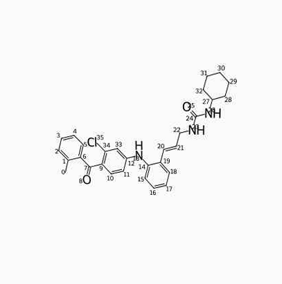 Cc1ccccc1C(=O)c1ccc(Nc2ccccc2/C=C/CNC(=O)NC2CCCCC2)cc1Cl